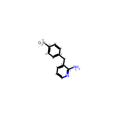 Nc1ncccc1Cc1ccc([N+](=O)[O-])cc1